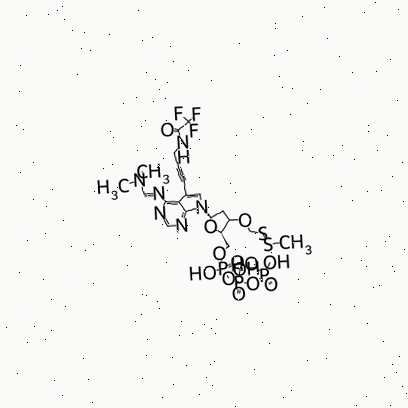 CSSCOC1C[C@H](n2cc(C#CCNC(=O)C(F)(F)F)c3c(/N=C/N(C)C)ncnc32)O[C@@H]1COP(=O)(O)OP(=O)(O)OP(=O)(O)O